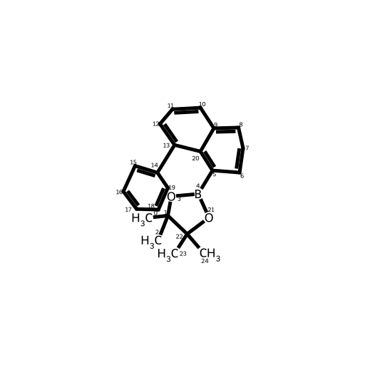 CC1(C)OB(c2cccc3cccc(-c4ccccc4)c23)OC1(C)C